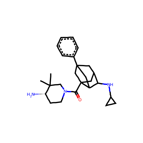 CC1(C)CN(C(=O)C23CC4CC(c5ccccc5)(CC2C4NC2CC2)C3)CC[C@@H]1N